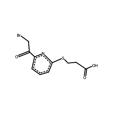 O=C(O)CCSc1cccc(C(=O)CBr)n1